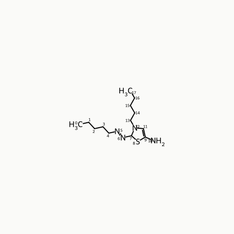 CCCCCN=NC1SC(N)=CN1CCCCC